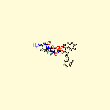 Cc1ccccc1COCC(OP(N)(=O)O[C@H]1O[C@@H](n2ccc(N)nc2=O)C(F)(F)[C@@H]1O)[C@@H](C)c1ccccc1